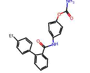 CCc1ccc(-c2ccccc2C(=O)Nc2ccc(OC(N)=O)cc2)cc1